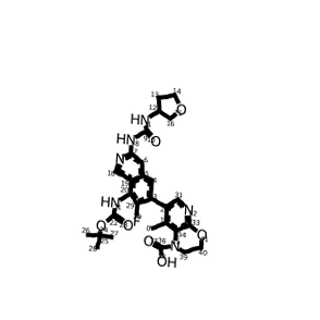 Cc1c(-c2cc3cc(NC(=O)NC4CCOC4)ncc3c(NC(=O)OC(C)(C)C)c2F)cnc2c1N(C(=O)O)CCO2